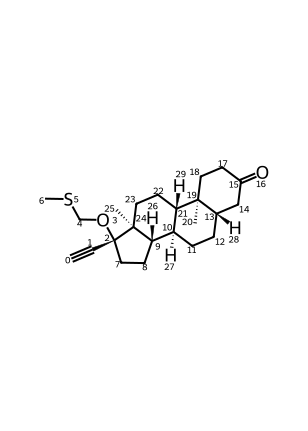 C#C[C@]1(OCSC)CC[C@H]2[C@@H]3CC[C@H]4CC(=O)CC[C@]4(C)[C@H]3CC[C@@]21C